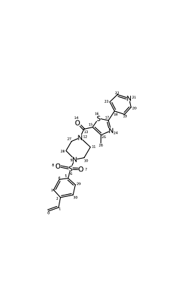 C=Cc1ccc(S(=O)(=O)N2CCN(C(=O)c3sc(-c4ccncc4)nc3C)CC2)cc1